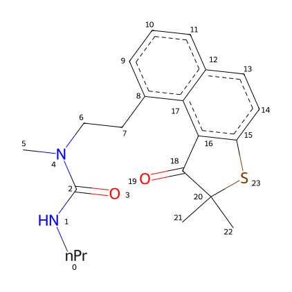 CCCNC(=O)N(C)CCc1cccc2ccc3c(c12)C(=O)C(C)(C)S3